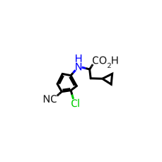 N#Cc1ccc(NC(CC2CC2)C(=O)O)cc1Cl